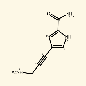 CC(=O)NCC#Cc1c[nH]c(C(N)=O)c1